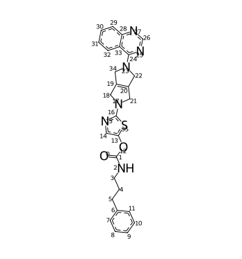 O=C(NCCCc1ccccc1)Oc1cnc(N2CC3=C(C2)CN(c2ncnc4ccccc24)C3)s1